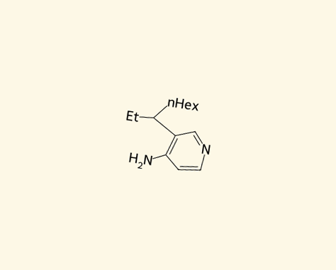 CCCCCCC(CC)c1cnccc1N